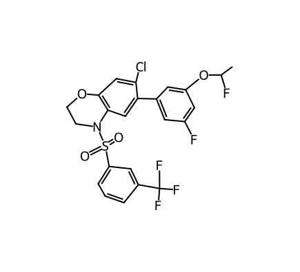 CC(F)Oc1cc(F)cc(-c2cc3c(cc2Cl)OCCN3S(=O)(=O)c2cccc(C(F)(F)F)c2)c1